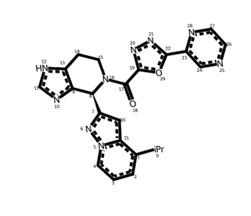 CC(C)c1cccn2nc([C@H]3c4nc[nH]c4CCN3C(=O)c3nnc(-c4cnccn4)o3)cc12